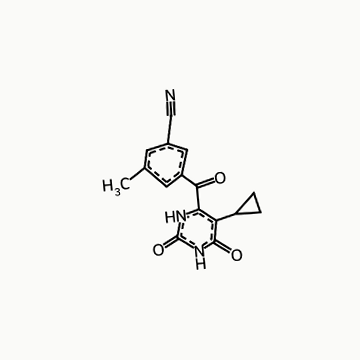 Cc1cc(C#N)cc(C(=O)c2[nH]c(=O)[nH]c(=O)c2C2CC2)c1